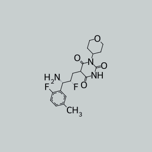 Cc1ccc(F)c([C@H](N)[C@@H](F)CC2C(=O)NC(=O)N(C3CCOCC3)C2=O)c1